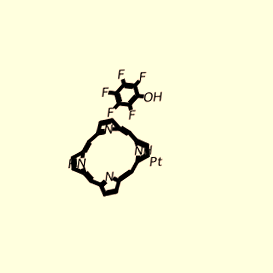 C1=Cc2cc3ccc(cc4nc(cc5ccc(cc1n2)[nH]5)C=C4)[nH]3.Oc1c(F)c(F)c(F)c(F)c1F.[Pt]